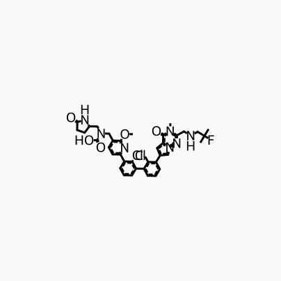 COc1nc(-c2cccc(-c3cccc(-c4cc5c(=O)n(C)c(CNCC(C)(C)F)nn5c4)c3Cl)c2Cl)ccc1CN(CC1CCC(=O)N1)C(=O)O